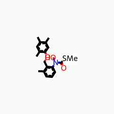 CSC(=O)N(O)c1cccc(C)c1COc1cc(C)c(C)cc1C